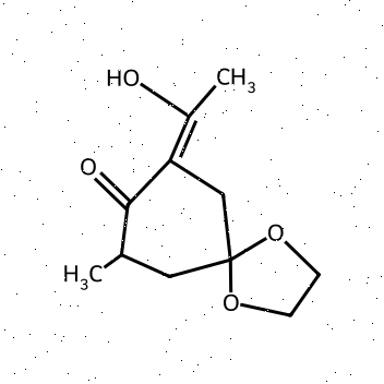 C/C(O)=C1\CC2(CC(C)C1=O)OCCO2